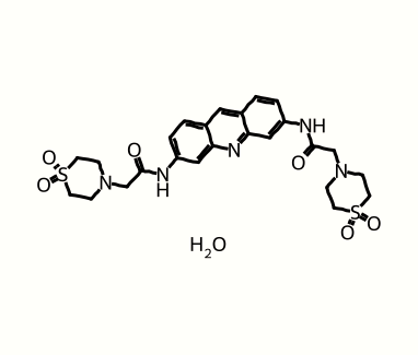 O.O=C(CN1CCS(=O)(=O)CC1)Nc1ccc2cc3ccc(NC(=O)CN4CCS(=O)(=O)CC4)cc3nc2c1